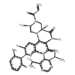 C=CC(=O)N1C[C@@H]2C(=O)N(C)c3c(c4cc(F)c(-c5c(O)cccc5F)nc4n(-c4c(C(C)C)ncnc4C(C)C)c3=O)N2C[C@H]1C